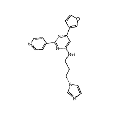 c1cc(-c2nc(NCCCn3ccnc3)cc(-c3ccoc3)n2)ccn1